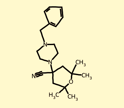 CC1(C)CC(C#N)(N2CCN(Cc3ccccc3)CC2)CC(C)(C)O1